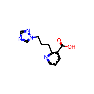 O=C(O)c1cccnc1CCCn1cncn1